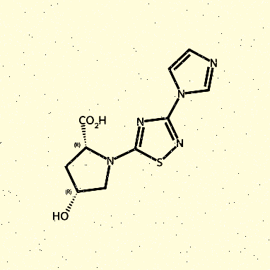 O=C(O)[C@H]1C[C@@H](O)CN1c1nc(-n2ccnc2)ns1